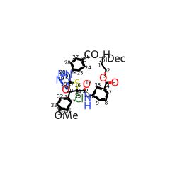 CCCCCCCCCCCCOC(=O)c1cccc(NC(=O)C(Cl)(Sc2nnnn2-c2ccc(C(=O)O)cc2)C(=O)c2ccc(OC)cc2)c1